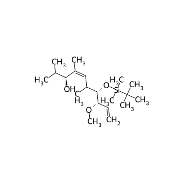 C=C[C@H](OC)[C@@H](O[Si](C)(C)C(C)(C)C)C(C)/C=C(/C)[C@@H](O)C(C)C